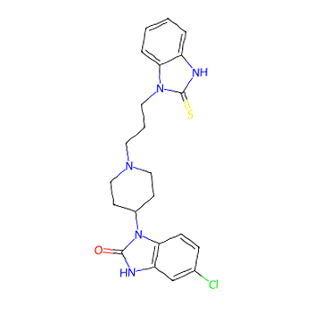 O=c1[nH]c2cc(Cl)ccc2n1C1CCN(CCCn2c(=S)[nH]c3ccccc32)CC1